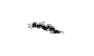 Cc1c(N2C[C@@H](C)N[C@@H]([n+]3c4cc(O)c(-c5cc(Cl)c6cc(N7CC(C)N(C)C(C)C7)cnc6n5)cc4cn3C)C2)cnc2nc(-c3cc4cn(C)nc4cc3O)ccc12